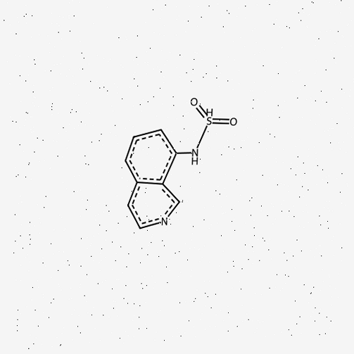 O=[SH](=O)Nc1cccc2ccn[c]c12